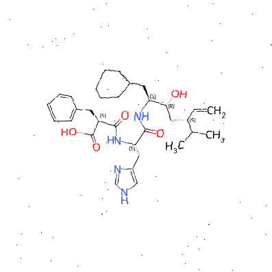 C=C[C@@H](C[C@@H](O)[C@H](CC1CCCCC1)NC(=O)[C@H](Cc1c[nH]cn1)NC(=O)[C@H](Cc1ccccc1)C(=O)O)C(C)C